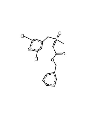 CS(=O)(Cc1cc(Cl)nc(Cl)c1)=NC(=O)OCc1ccccc1